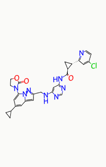 O=C(Nc1cc(NCc2cc3cc(C4CC4)cc(N4CCOC4=O)n3n2)ncn1)[C@H]1C[C@@H]1c1cc(Cl)ccn1